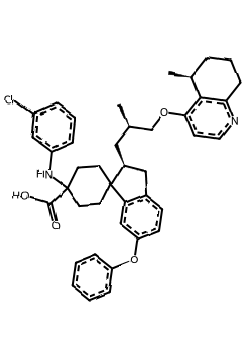 C[C@@H](COc1ccnc2c1[C@@H](C)CCC2)C[C@H]1Cc2ccc(Oc3ccccc3)cc2C12CCC(Nc1cccc(Cl)c1)(C(=O)O)CC2